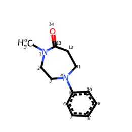 CN1CCN(c2cc[c]cc2)CCC1=O